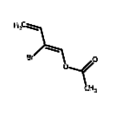 C=CC(Br)=COC(C)=O